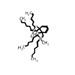 CCCCCC[N+](C)(CCCCCC)CC1(Cl)C=CC=CC1(Cl)C[N+](C)(CCCCCC)CCCCCC